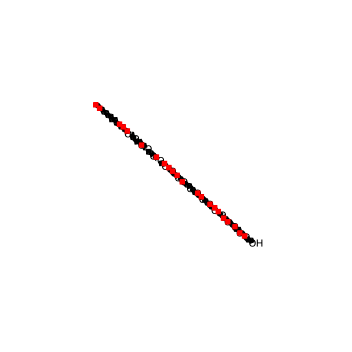 CCCCCCCCCCCCCCCCOCCOCCOCCOCCOCCOCCOCCOCCOCCOCCOCCOCCOCCOCCOCCOCCOCCOCCOCCOCCO